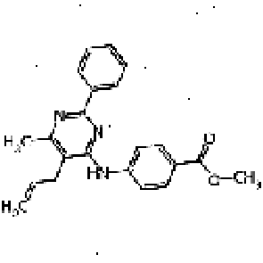 C=CCc1c(C)nc(-c2ccccc2)nc1Nc1ccc(C(=O)OC)cc1